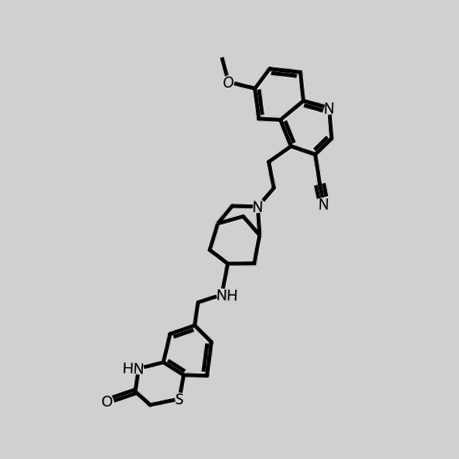 COc1ccc2ncc(C#N)c(CCN3CC4CC(NCc5ccc6c(c5)NC(=O)CS6)CC3C4)c2c1